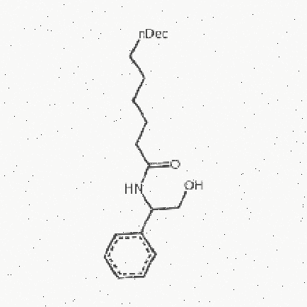 CCCCCCCCCCCCCCCC(=O)NC(CO)c1ccccc1